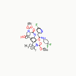 CC(C)(C)OC(=O)N1CC(C)(C)c2ccc(N(C(=O)[C@H]3C[C@@](C)(O)CN3C(=O)OC(C)(C)C)[C@@H](C(=O)NC3CCC(F)(F)CC3)c3cncc(F)c3)cc21